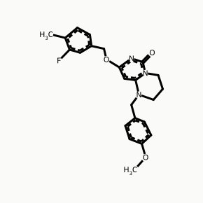 COc1ccc(CN2CCCn3c2cc(OCc2ccc(C)c(F)c2)nc3=O)cc1